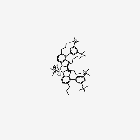 CCCCC1=Cc2c(ccc(CCC)c2-c2cc([Si](C)(C)C)cc([Si](C)(C)C)c2)[CH]1[Zr]([Cl])([Cl])([CH]1C(CCCC)=Cc2c1ccc(CCC)c2-c1cc([Si](C)(C)C)cc([Si](C)(C)C)c1)[SiH](C)C